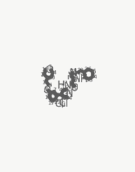 O=C(Nc1cc(-c2cc(OCCC3CCOCC3)ccc2Cl)c(Cl)cn1)c1nnc(CC2CCCCC2)[nH]1